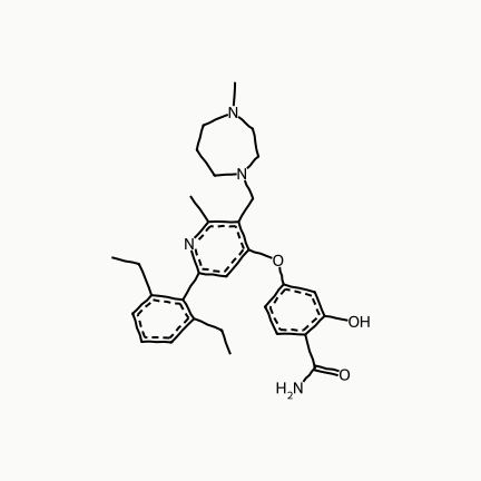 CCc1cccc(CC)c1-c1cc(Oc2ccc(C(N)=O)c(O)c2)c(CN2CCCN(C)CC2)c(C)n1